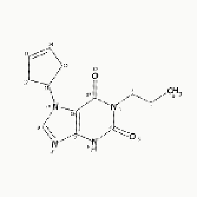 CCCn1c(=O)[nH]c2ncn(C3CC=CC3)c2c1=O